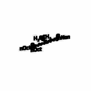 CCCCCCCCCC(=O)SCCCCCCN(CCCCCCOC(=O)C(CCCCCCCC)CCCCCCCC)CCN(C)C